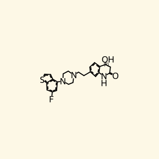 O=C1C[C@@H](O)c2ccc(CCN3CCN(c4cc(F)cc5sccc45)CC3)cc2N1